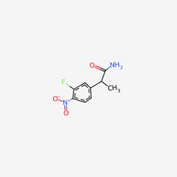 CC(C(N)=O)c1ccc([N+](=O)[O-])c(F)c1